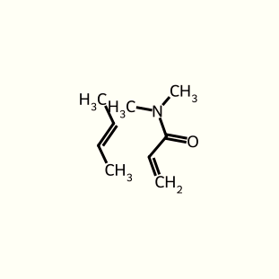 C=CC(=O)N(C)C.CC=CC